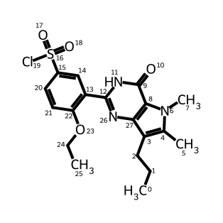 CCCc1c(C)n(C)c2c(=O)[nH]c(-c3cc(S(=O)(=O)Cl)ccc3OCC)nc12